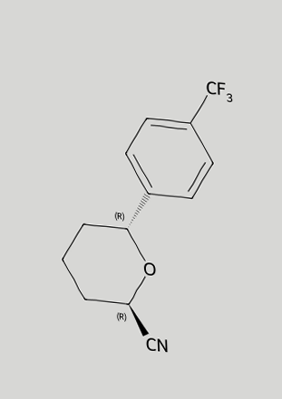 N#C[C@H]1CCC[C@H](c2ccc(C(F)(F)F)cc2)O1